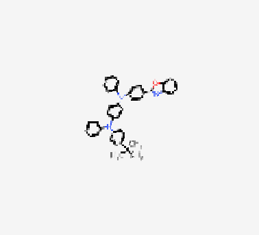 CC(C)(C)c1ccc(N(c2ccccc2)c2ccc(N(c3ccccc3)c3ccc(-c4nc5ccccc5o4)cc3)cc2)cc1